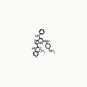 Cc1cnccc1NC(=O)c1cnc2c(Nc3ccccc3)cc(NC3CCC(N)CC3)nn12